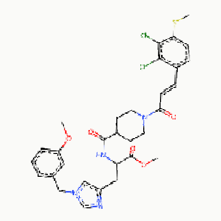 COC(=O)C(Cc1cn(Cc2cccc(OC)c2)cn1)NC(=O)C1CCN(C(=O)C=Cc2ccc(SC)c(Cl)c2Cl)CC1